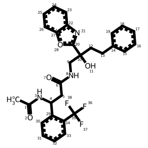 CC(=O)NC(CC(=O)NCC(O)(CCc1ccccc1)c1nc2ccccc2o1)c1ccccc1C(F)(F)F